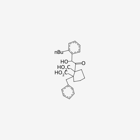 CCCCc1ccccc1C(O)C(=O)C1(C(=O)O)CCCCC1(Cc1ccccc1)C(=O)O